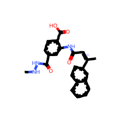 CNNC(=O)c1ccc(C(=O)O)c(NC(=O)/C=C(/C)c2ccc3ccccc3c2)c1